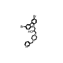 OC(CN1CCN(Cc2cccnc2)CC1)Cn1c2ccc(Br)cc2c2cc(Br)ccc21